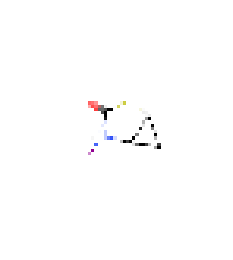 O=C1SC2CC2N1I